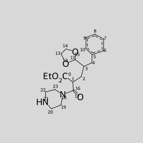 CCOC(=O)C(CC(Cc1ccccc1)C1OCCO1)C(=O)N1CCNCC1